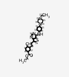 CCOC(=O)c1ccc(C)c(CCc2csc3c(Nc4ccc(N5CCN(CC)CC5)cc4)ncnc23)c1